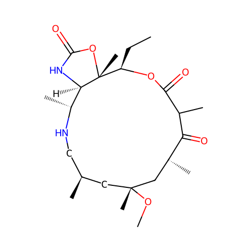 CC[C@H]1OC(=O)C(C)C(=O)[C@H](C)C[C@](C)(OC)C[C@@H](C)CN[C@H](C)[C@H]2NC(=O)O[C@@]21C